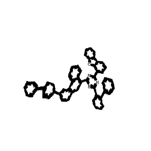 c1ccc(-c2ccc(-c3ccc4cc(-c5nc(-c6ccccc6-c6ccccc6)nc(-c6cccc7c6oc6ccccc67)n5)c5ccccc5c4c3)cc2)cc1